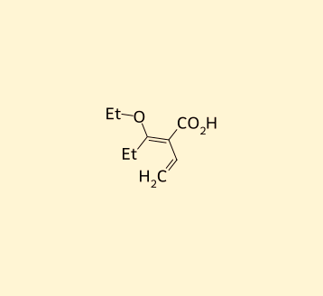 C=C/C(C(=O)O)=C(\CC)OCC